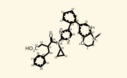 CN1CCOc2cc(-c3ccccc3-c3csc(N(C(=O)C(CC(=O)O)Cc4ccccc4)C4CC4)n3)cnc21